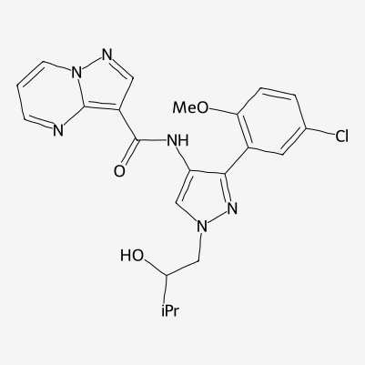 COc1ccc(Cl)cc1-c1nn(CC(O)C(C)C)cc1NC(=O)c1cnn2cccnc12